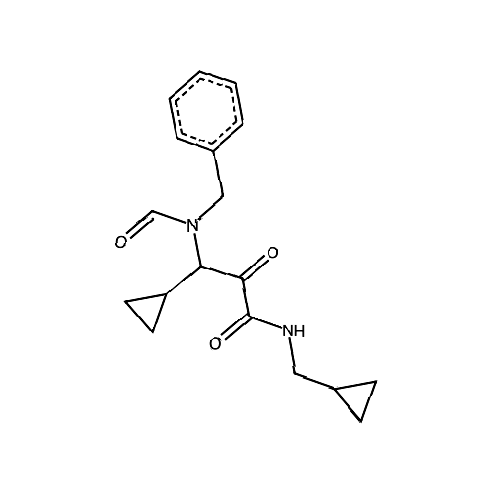 O=CN(Cc1ccccc1)C(C(=O)C(=O)NCC1CC1)C1CC1